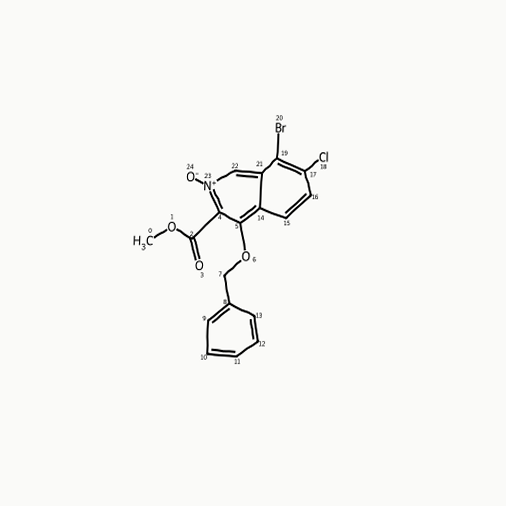 COC(=O)c1c(OCc2ccccc2)c2ccc(Cl)c(Br)c2c[n+]1[O-]